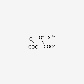 O=C([O-])[O-].O=C([O-])[O-].[Si+4]